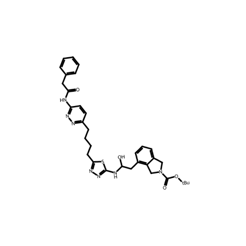 CC(C)(C)OC(=O)N1Cc2cccc(CC(O)Nc3nnc(CCCCc4ccc(NC(=O)Cc5ccccc5)nn4)s3)c2C1